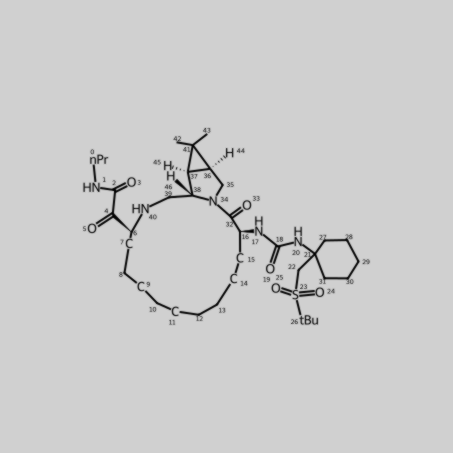 CCCNC(=O)C(=O)[C@@H]1CCCCCCCCC[C@H](NC(=O)NC2(CS(=O)(=O)C(C)(C)C)CCCCC2)C(=O)N2C[C@H]3[C@@H]([C@H]2CN1)C3(C)C